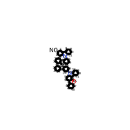 N#Cc1ccc2c(c1)c1ccccc1n2-c1cccc([Si](c2ccccc2)(c2ccccc2)c2ccc(-n3c4ccccc4c4c5oc6ccccc6c5ccc43)cc2)c1